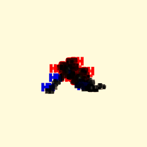 CCNCC.CCNCC.CCNCC.CCNCC.O=S(=O)(O)c1cc(S(=O)(=O)O)c2cccnc2c1[O-].O=S(=O)(O)c1cc(S(=O)(=O)O)c2cccnc2c1[O-].[Cu+2]